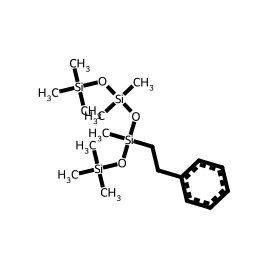 C[Si](C)(C)O[Si](C)(C)O[Si](C)(CCc1ccccc1)O[Si](C)(C)C